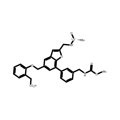 CC(C)(C)OC(=O)NCc1cccc(-c2cc(COc3ccccc3CC(=O)O)cc3cc(CN[S@+]([O-])C(C)(C)C)oc23)c1